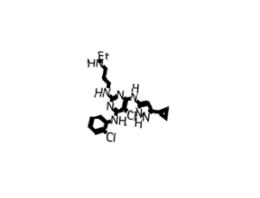 CCNCCCNc1nc(Nc2cc(C3CC3)n[nH]2)c(Cl)c(Nc2ccccc2Cl)n1